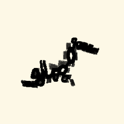 COC(=O)c1ccc(-c2cc(C(F)(F)F)c3oc(CNC(=O)OC(C)(C)C)cc3c2)cc1